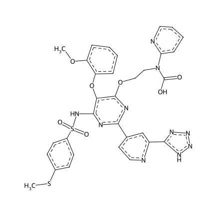 COc1ccccc1Oc1c(NS(=O)(=O)c2ccc(SC)cc2)nc(-c2ccnc(-c3nnn[nH]3)c2)nc1OCCN(C(=O)O)c1ccccn1